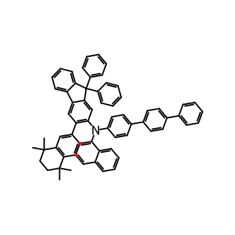 CC1(C)CCC(C)(C)c2cc(-c3cc4c(cc3N(c3ccc(-c5ccc(-c6ccccc6)cc5)cc3)c3cccc5ccccc35)C(c3ccccc3)(c3ccccc3)c3ccccc3-4)ccc21